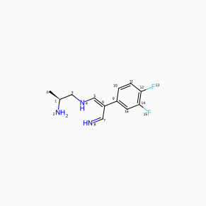 C[C@H](N)CN/C=C(\C=N)c1ccc(F)c(F)c1